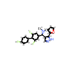 CCN(C)C(c1cc(F)c(-c2ccc(F)cc2)c(F)c1)c1cn[nH]c1-c1ccco1